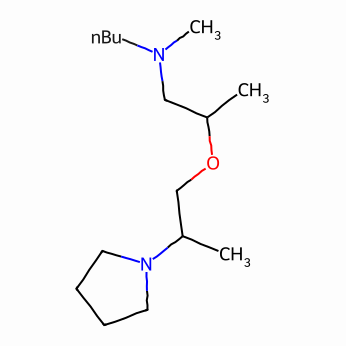 CCCCN(C)CC(C)OCC(C)N1CCCC1